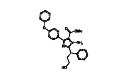 COC(=O)c1c(-c2ccc(Oc3ccccc3)cc2)nc(C(CCO)c2ccccc2)n1N